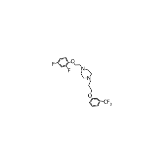 Fc1ccc(OCCN2CCN(CCCOc3cccc(C(F)(F)F)c3)CC2)c(F)c1